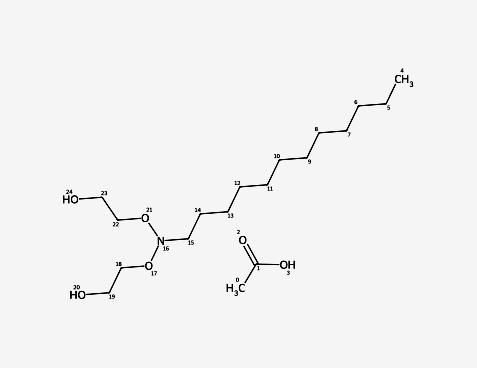 CC(=O)O.CCCCCCCCCCCCN(OCCO)OCCO